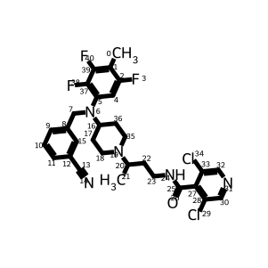 Cc1c(F)cc(N(Cc2cccc(C#N)c2)C2CCN(C(C)CCNC(=O)c3c(Cl)cncc3Cl)CC2)c(F)c1F